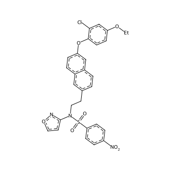 CCOc1ccc(Oc2ccc3cc(CCN(c4ccon4)S(=O)(=O)c4ccc([N+](=O)[O-])cc4)ccc3c2)c(Cl)c1